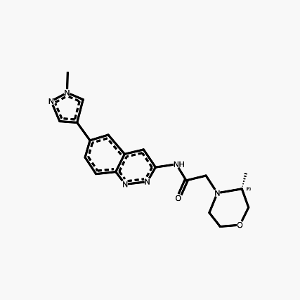 C[C@@H]1COCCN1CC(=O)Nc1cc2cc(-c3cnn(C)c3)ccc2nn1